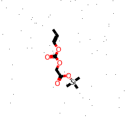 CC=COC(=O)OCC(=O)O[Si](C)(C)C